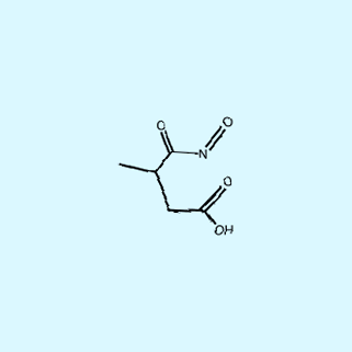 CC(CC(=O)O)C(=O)N=O